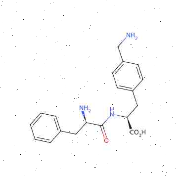 NCc1ccc(C[C@H](NC(=O)[C@H](N)Cc2ccccc2)C(=O)O)cc1